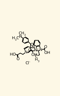 CCC1N(C(=O)O)c2ccc3cc2[N+]1(C(=O)O)N3C1(C(=O)c2ccc(N(C)C)cc2)C=CN(CCC(=O)O)C=C1.[Cl-]